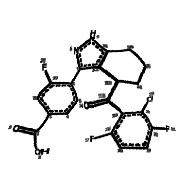 O=C(O)c1ccc(-c2n[nH]c3c2C(C(=O)c2c(F)ccc(F)c2Cl)CCC3)c(F)c1